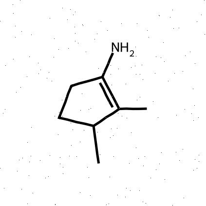 CC1=C(N)CCC1C